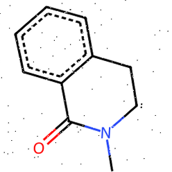 CN1[C]Cc2ccccc2C1=O